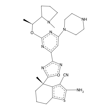 C[C@H](Oc1nc(-c2noc([C@@]3(C)CCCc4sc(N)c(C#N)c43)n2)cc(N2CCNCC2)n1)C1CCCN1C